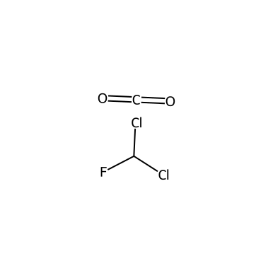 FC(Cl)Cl.O=C=O